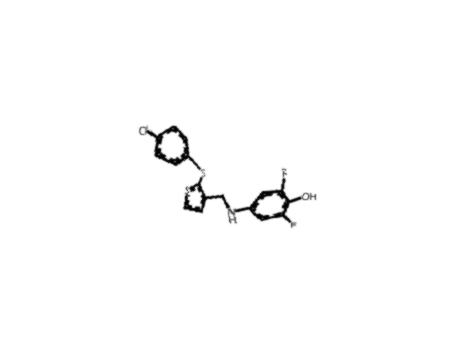 Oc1c(F)cc(NCc2ccsc2Sc2ccc(Cl)cc2)cc1F